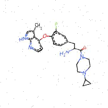 Cc1c[nH]c2nccc(Oc3ccc(CC(N)C(=O)N4CCN(C5CC5)CC4)cc3F)c12